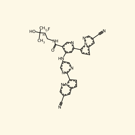 CC(C)(O)[C@H](F)CNC(=O)c1cnc(-c2ccc3cc(C#N)cnn23)cc1Nc1cnc(-c2ccc3cc(C#N)cnn23)nc1